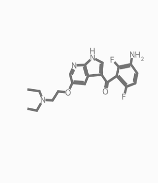 CCN(CC)CCOc1cnc2[nH]cc(C(=O)c3c(F)ccc(N)c3F)c2c1